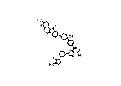 C=C1CCC(N2C(=O)c3ccc(N4CCC(C)(c5ccc(Nc6nc(N7CCC[C@@H](N8CCN(C)C8=O)C7)cnc6C(N)=O)cc5)CC4)cc3C2=O)C(=O)N1